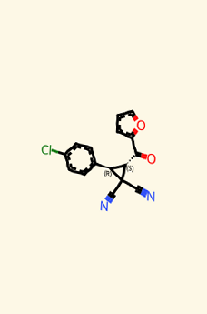 N#CC1(C#N)[C@@H](C(=O)c2ccco2)[C@@H]1c1ccc(Cl)cc1